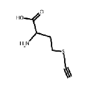 C#CSCCC(N)C(=O)O